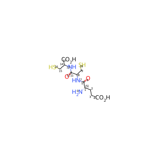 N[C@@H](CCC(=O)O)C(=O)NC(CS)C(=O)NC(CS)C(=O)O